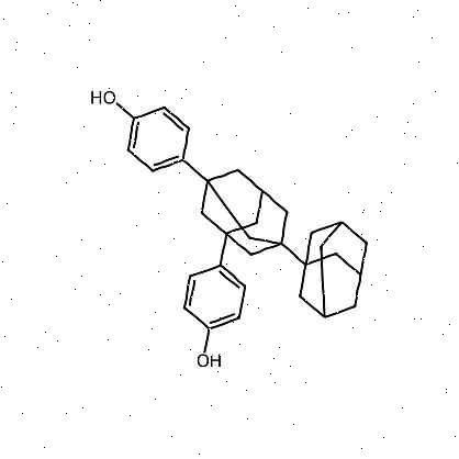 Oc1ccc(C23CC4CC(c5ccc(O)cc5)(C2)CC(C25CC6CC(CC(C6)C2)C5)(C4)C3)cc1